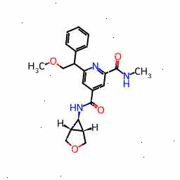 CNC(=O)c1cc(C(=O)N[C@H]2[C@@H]3COC[C@@H]32)cc(C(COC)c2ccccc2)n1